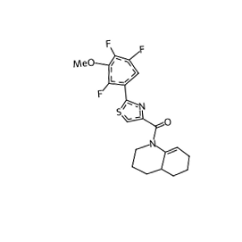 COc1c(F)c(F)cc(-c2nc(C(=O)N3CCCC4CCCC=C43)cs2)c1F